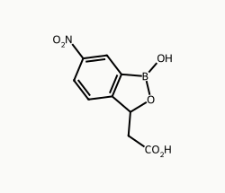 O=C(O)CC1OB(O)c2cc([N+](=O)[O-])ccc21